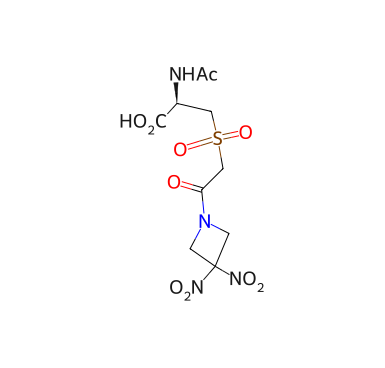 CC(=O)N[C@@H](CS(=O)(=O)CC(=O)N1CC([N+](=O)[O-])([N+](=O)[O-])C1)C(=O)O